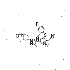 CC(=O)N1CCC(n2cc(-c3cc(Sc4ccc(F)cc4C#N)c4c(C#N)cnn4c3)c(C)n2)CC1